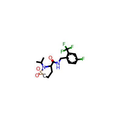 CC(C)N1C(C(=O)NCc2ccc(F)cc2C(F)(F)F)CCCS1(=O)=O